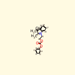 CC1N(CCOC(=O)Oc2ccccc2)c2ccccc2C1(C)C